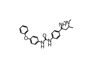 CC(CC(=N)c1ccc(NC(=O)Nc2ccc(Oc3ccccc3)cc2)cc1)N(C)C